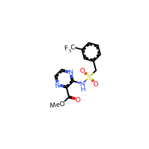 COC(=O)c1nccnc1NS(=O)(=O)Cc1cccc(C(F)(F)F)c1